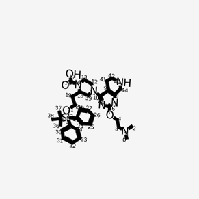 CN(C)CCOc1nc2c(c(N3CCN(C(=O)O)C(CCO[Si](c4ccccc4)(c4ccccc4)C(C)(C)C)C3)n1)CCNC2